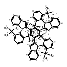 CC(C)(C)c1cccc(C(C)(C)C)c1-n1c(-c2cc(-c3nc4ccccc4n3-c3c(C(C)(C)C)cccc3C(C)(C)C)cc(-c3nc4ccccc4n3-c3c(C(C)(C)C)cccc3C(C)(C)C)c2)nc2ccccc21